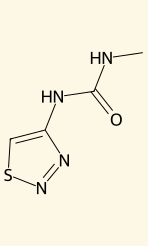 CNC(=O)Nc1csnn1